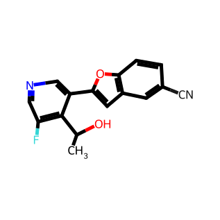 CC(O)c1c(F)cncc1-c1cc2cc(C#N)ccc2o1